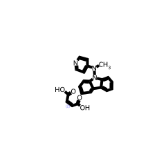 CN(c1ccncc1)n1c2ccccc2c2ccccc21.O=C(O)/C=C\C(=O)O